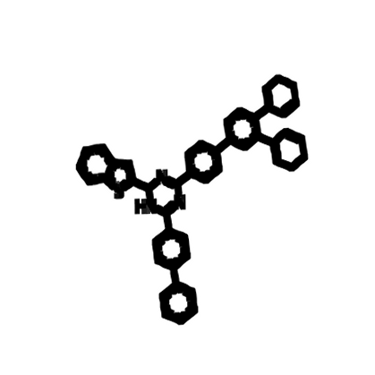 C1=CC(c2ccc(-c3ccc(C4=NC(c5cc6ccccc6s5)NC(c5ccc(-c6ccccc6)cc5)=N4)cc3)cc2C2=CCCC=C2)=CCC1